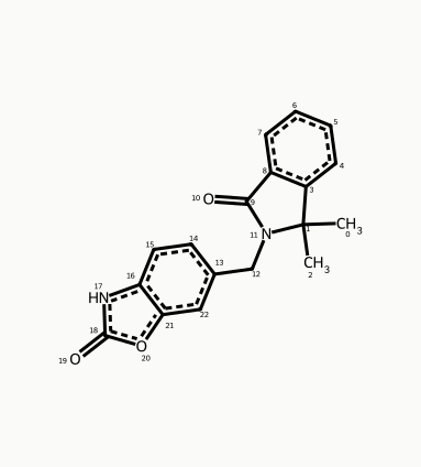 CC1(C)c2ccccc2C(=O)N1Cc1ccc2[nH]c(=O)oc2c1